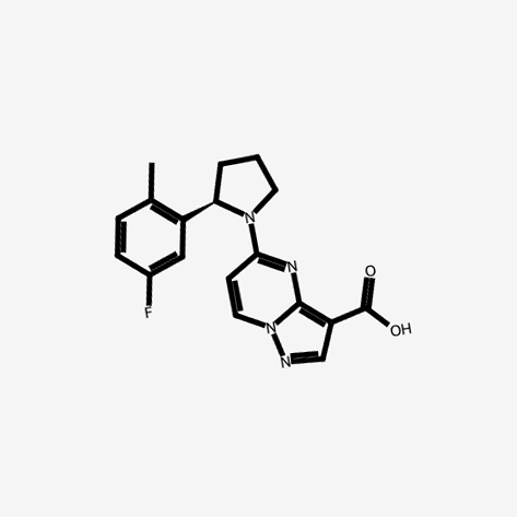 Cc1ccc(F)cc1[C@H]1CCCN1c1ccn2ncc(C(=O)O)c2n1